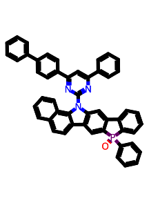 O=P1(c2ccccc2)c2ccccc2-c2cc3c(cc21)c1ccc2ccccc2c1n3-c1nc(-c2ccccc2)cc(-c2ccc(-c3ccccc3)cc2)n1